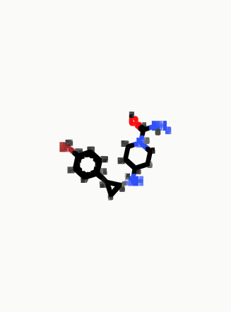 NC(=O)N1CCC(N[C@@H]2C[C@H]2c2ccc(Br)cc2)CC1